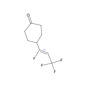 O=C1CCC(/C(F)=C/C(F)(F)F)CC1